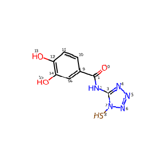 O=C(Nc1nnnn1S)c1ccc(O)c(O)c1